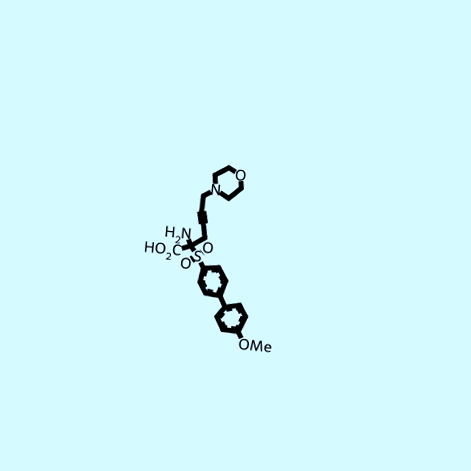 COc1ccc(-c2ccc(S(=O)(=O)C(N)(CC#CCN3CCOCC3)C(=O)O)cc2)cc1